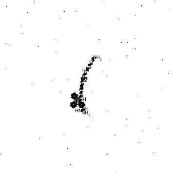 N=C(N)Nc1ccc(C(NC(=O)OCCOCCOCc2cn(CCOCCOCCOCCN)nn2)P(=O)(Oc2ccccc2)Oc2ccccc2)cc1